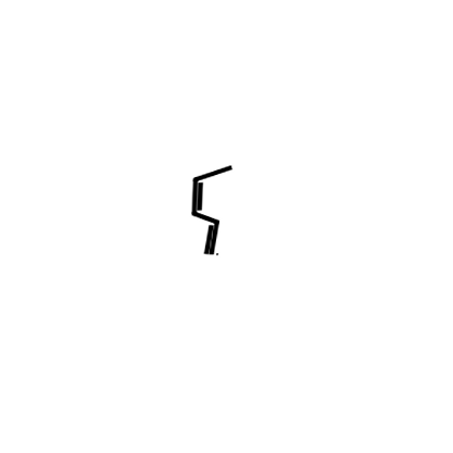 [CH]=C/C=C\C